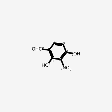 O=Cc1ccc(O)c([N+](=O)[O-])c1O